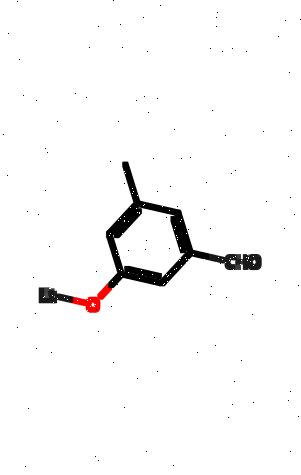 CCOc1cc(C)cc(C=O)c1